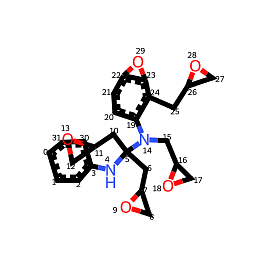 c1ccc(NC(CC2CO2)(CC2CO2)N(CC2CO2)c2ccc3c(c2CC2CO2)O3)cc1